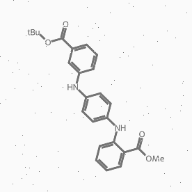 COC(=O)c1ccccc1Nc1ccc(Nc2cccc(C(=O)OC(C)(C)C)c2)cc1